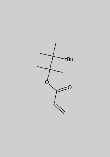 C=CC(=O)OC(C)(C)C(C)(C)C(C)(C)C